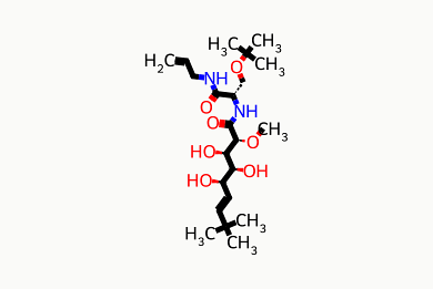 C=CCNC(=O)[C@H](COC(C)(C)C)NC(=O)[C@H](OC)[C@H](O)[C@@H](O)[C@H](O)/C=C/C(C)(C)C